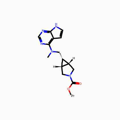 CC(C)OC(=O)N1C[C@@H]2[C@H](C1)[C@@H]2CN(C)c1ncnc2[nH]ccc12